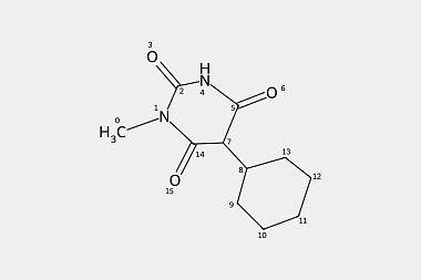 CN1C(=O)NC(=O)C(C2CCCCC2)C1=O